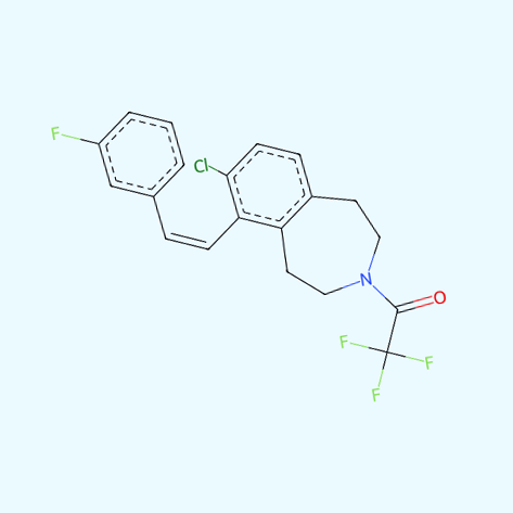 O=C(N1CCc2ccc(Cl)c(/C=C\c3cccc(F)c3)c2CC1)C(F)(F)F